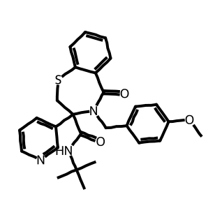 COc1ccc(CN2C(=O)c3ccccc3SCC2(C(=O)NC(C)(C)C)c2cccnc2)cc1